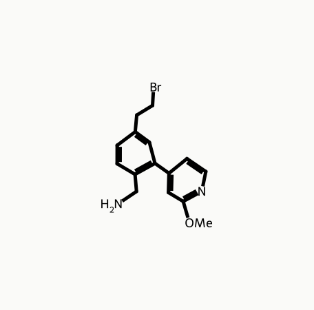 COc1cc(-c2cc(CCBr)ccc2CN)ccn1